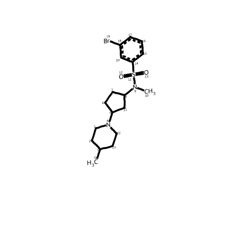 CC1CCN(C2CCC(N(C)S(=O)(=O)c3cccc(Br)c3)C2)CC1